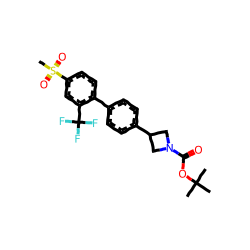 CC(C)(C)OC(=O)N1CC(c2ccc(-c3ccc(S(C)(=O)=O)cc3C(F)(F)F)cc2)C1